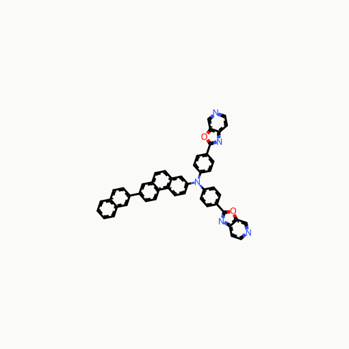 c1ccc2cc(-c3ccc4c(ccc5cc(N(c6ccc(-c7nc8ccncc8o7)cc6)c6ccc(-c7nc8ccncc8o7)cc6)ccc54)c3)ccc2c1